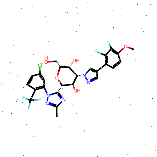 COc1ccc(-c2cnn([C@H]3[C@@H](O)[C@@H](CO)O[C@@H](c4nc(C)nn4-c4cc(Cl)ccc4C(F)(F)F)[C@@H]3O)c2)c(F)c1F